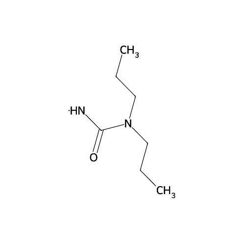 CCCN(CCC)C([NH])=O